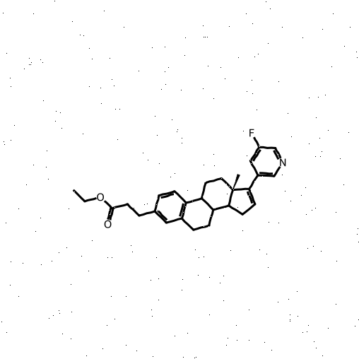 CCOC(=O)CCc1ccc2c(c1)CCC1C2CC[C@]2(C)C(c3cncc(F)c3)=CCC12